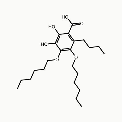 CCCCCCOc1c(O)c(O)c(C(=O)O)c(CCCC)c1OCCCCCC